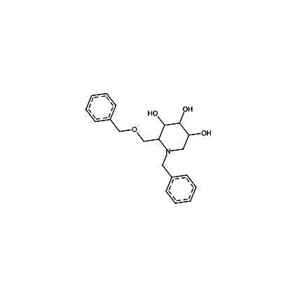 OC1CN(Cc2ccccc2)C(COCc2ccccc2)C(O)C1O